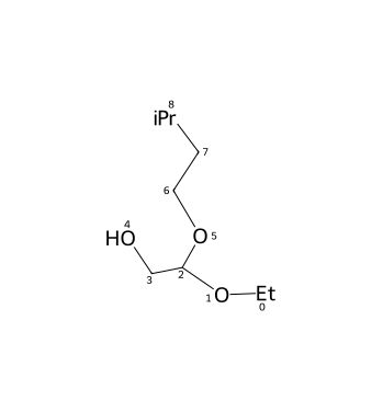 CCOC(CO)OCCC(C)C